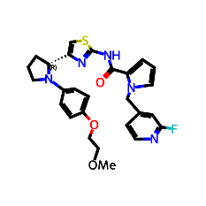 COCCOc1ccc(N2CCC[C@@H]2c2csc(NC(=O)c3cccn3Cc3ccnc(F)c3)n2)cc1